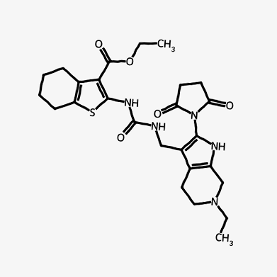 CCOC(=O)c1c(NC(=O)NCc2c(N3C(=O)CCC3=O)[nH]c3c2CCN(CC)C3)sc2c1CCCC2